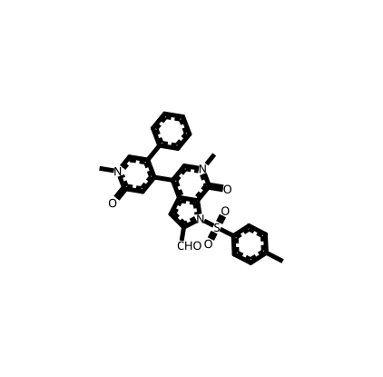 Cc1ccc(S(=O)(=O)n2c(C=O)cc3c(-c4cc(=O)n(C)cc4-c4ccccc4)cn(C)c(=O)c32)cc1